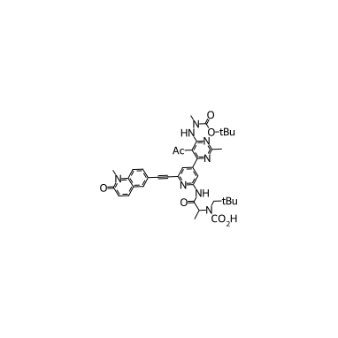 CC(=O)c1c(NN(C)C(=O)OC(C)(C)C)nc(C)nc1-c1cc(C#Cc2ccc3c(ccc(=O)n3C)c2)nc(NC(=O)C(C)N(CC(C)(C)C)C(=O)O)c1